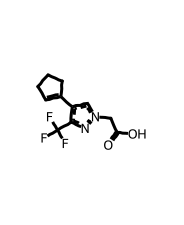 O=C(O)Cn1cc(C2=CCCC2)c(C(F)(F)F)n1